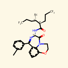 CC(=O)[C@@H](CCC(F)(F)F)[C@@H](CCC(F)(F)F)C(=O)N[C@H]1N=C(c2cccc(C)c2)c2cccc3c2N(CCO3)C1=O